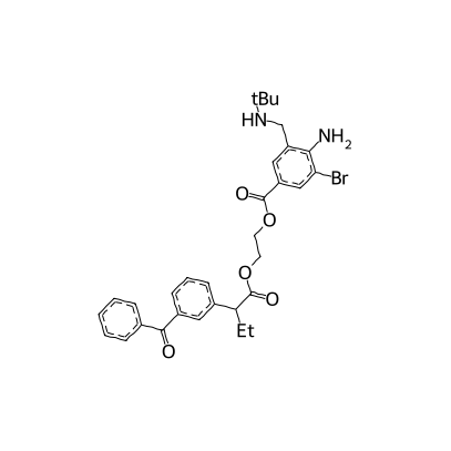 CCC(C(=O)OCCOC(=O)c1cc(Br)c(N)c(CNC(C)(C)C)c1)c1cccc(C(=O)c2ccccc2)c1